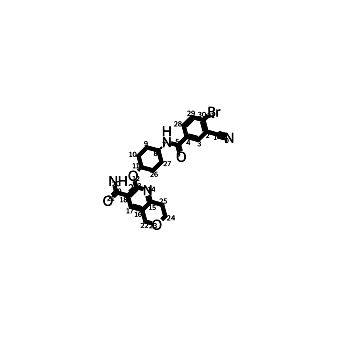 N#Cc1cc(C(=O)N[C@H]2CC[C@H](Oc3nc4c(cc3C(N)=O)COCC4)CC2)ccc1Br